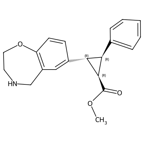 COC(=O)[C@@H]1[C@H](c2ccccc2)[C@H]1c1ccc2c(c1)CNCCO2